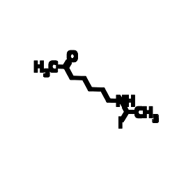 CC(=O)CCCCCNC(C)I